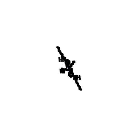 CCCCCCCCNc1cccc(/N=C(CCCC)/C(CCCCC)=N/c2cccc(NCCCCCCCC)c2)c1.[Ni]